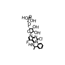 CC(Nc1nc(Cl)nc2c1c(F)cn2[C@@H]1O[C@H](COCP(=O)(O)O)[C@@H](O)[C@H]1O)c1ccccc1